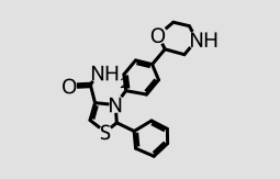 NC(=O)C1=CSC(c2ccccc2)N1c1ccc(C2CNCCO2)cc1